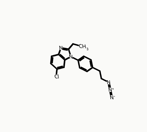 CCc1nc2ccc(Cl)cc2n1-c1ccc(CCN=[N+]=[N-])cc1